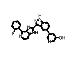 Oc1cncc(-c2ccc3[nH]nc(-c4nc5c(-c6ccccc6F)nccc5[nH]4)c3c2)c1